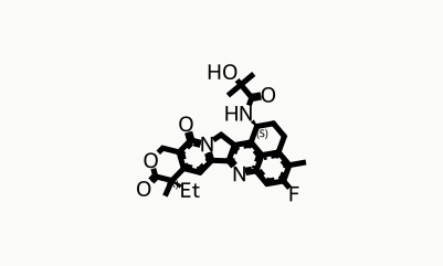 CC[C@@]1(C)C(=O)OCc2c1cc1n(c2=O)Cc2c-1nc1cc(F)c(C)c3c1c2[C@@H](NC(=O)C(C)(C)O)CC3